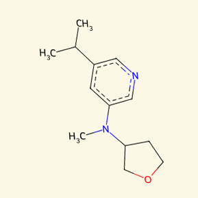 CC(C)c1cncc(N(C)C2CCOC2)c1